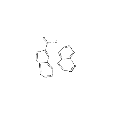 O=[N+]([O-])c1ccc2cccnc2c1.c1ccc2ncccc2c1